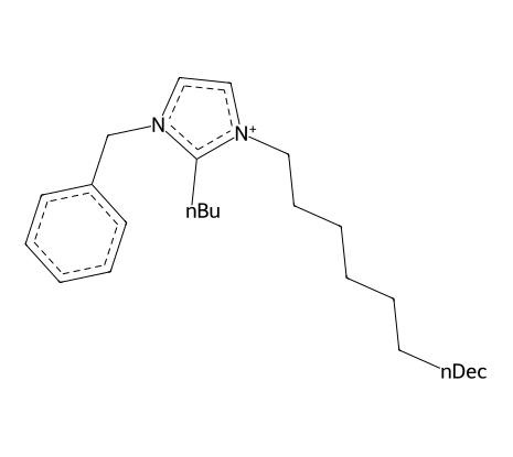 CCCCCCCCCCCCCCCC[n+]1ccn(Cc2ccccc2)c1CCCC